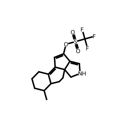 CC1CCCC2=C3C=C(OS(=O)(=O)C(F)(F)F)C4=CNCC43CCC21